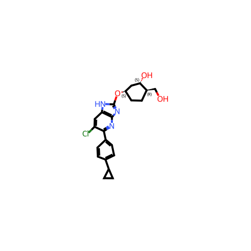 OC[C@H]1CC[C@H](Oc2nc3nc(-c4ccc(C5CC5)cc4)c(Cl)cc3[nH]2)C[C@@H]1O